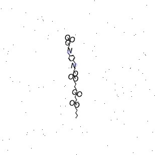 CCCCCOC(=O)CCC(=O)OCCCCOC(=O)OCC/N=C/c1ccc(/C=N/CCOC(=O)OC)cc1